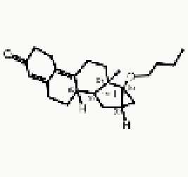 CCCCO[C@@]12C[C@@H]1C[C@H]1[C@@H]3CCC4=CC(=O)CCC4=C3CC[C@@]12C